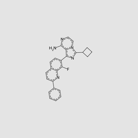 Nc1nccn2c(C3CCC3)nc(-c3ccc4ccc(-c5ccccc5)nc4c3F)c12